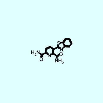 NC(=O)c1ccc(-c2nc3ccccc3s2)c(C(N)=O)n1